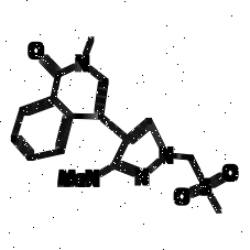 CNc1nn(CS(C)(=O)=O)cc1-c1cn(C)c(=O)c2ccccc12